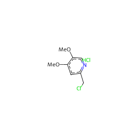 COc1cnc(CCl)cc1OC.Cl